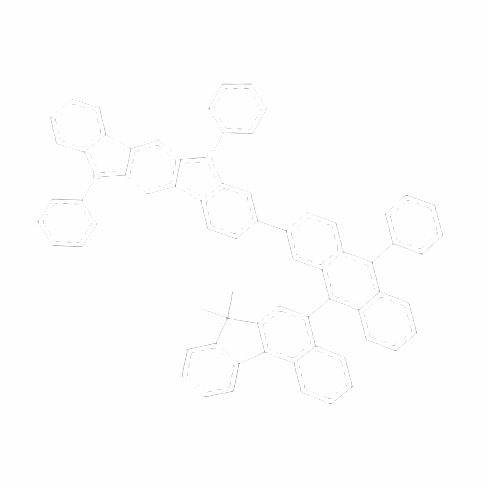 CC1(C)c2ccccc2-c2c1cc(-c1c3ccccc3c(-c3ccccc3)c3ccc(-c4ccc5c6cc7c(cc6n(-c6ccccc6)c5c4)c4ccccc4n7-c4ccccc4)cc13)c1ccccc21